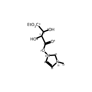 CCOC(=O)C(O)C(O)C(=O)ON1C=CN(C)C1